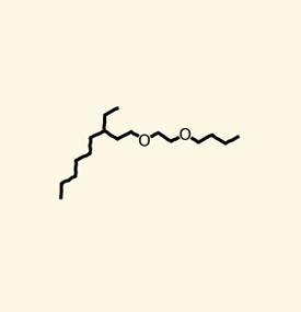 CCCCCCC(CC)CCOCCOCCCC